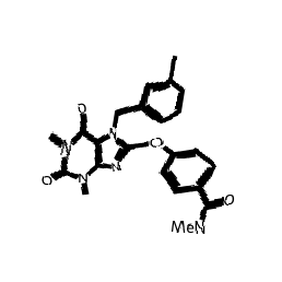 CNC(=O)c1ccc(Oc2nc3c(c(=O)n(C)c(=O)n3C)n2Cc2cccc(C)c2)cc1